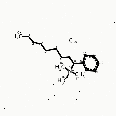 CCCCCCCCC(c1ccccc1)[N+](C)(C)C.[Cl-]